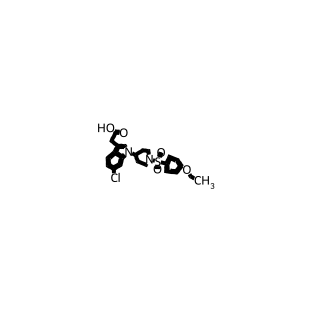 CCOc1ccc(S(=O)(=O)N2CCC(n3cc(CC(=O)O)c4ccc(Cl)cc43)CC2)cc1